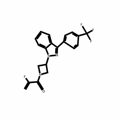 C=C(F)C(=O)N1CC(n2nc(-c3ccc(C(F)(F)F)cc3)c3ccccc32)C1